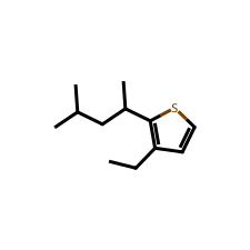 CCc1ccsc1C(C)CC(C)C